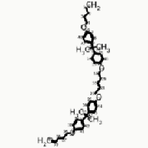 C=CCCCOc1ccc(C(C)(C)c2ccc(OCCCCCOc3ccc(C(C)(C)c4ccc(OCCCC=C)cc4)cc3)cc2)cc1